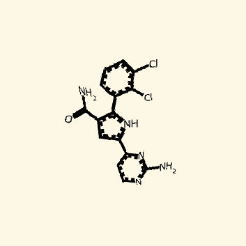 NC(=O)c1cc(-c2ccnc(N)n2)[nH]c1-c1cccc(Cl)c1Cl